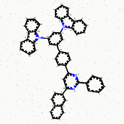 c1ccc(-c2nc(-c3ccc(-c4cc(-n5c6ccccc6c6ccccc65)cc(-n5c6ccccc6c6ccccc65)c4)cc3)cc(-c3ccc4ccccc4c3)n2)cc1